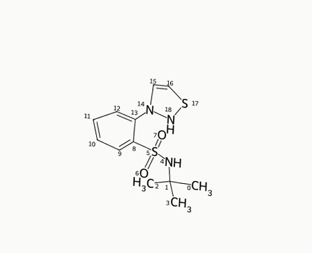 CC(C)(C)NS(=O)(=O)c1ccccc1N1C=CSN1